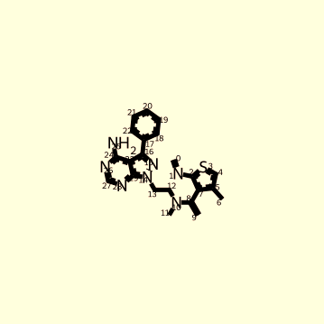 C=Nc1scc(C)c1C(=C)N(C)CCn1nc(-c2ccccc2)c2c(N)ncnc21